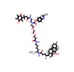 CC1=C(C)C(=O)C(C(C)(C)CC(=O)N(C)CCN(CCOCCOCCC(=O)NCCCCC(NC(=O)CC[C@@H](C)[C@H]2CC[C@H]3[C@@H]4[C@@H](O)C[C@@H]5C[C@H](C)CC[C@]5(C)[C@H]4CC[C@]23C)C(=O)O)C(=O)Oc2ccc3nc(C#N)sc3c2)=C(C)C1=O